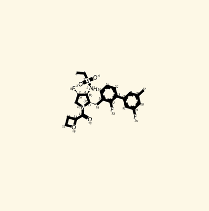 CCS(=O)(=O)N[C@H]1[C@@H](F)CN(C(=O)C2CCO2)[C@H]1Cc1cccc(-c2cc(C)cc(F)c2)c1F